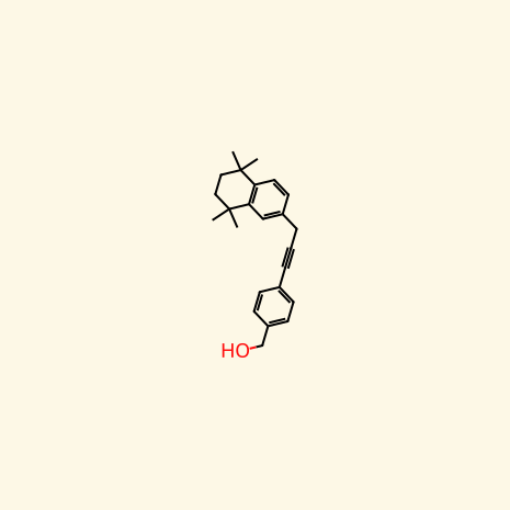 CC1(C)CCC(C)(C)c2cc(CC#Cc3ccc(CO)cc3)ccc21